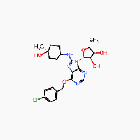 C[C@H]1O[C@@H](n2c(N[C@H]3CC[C@@](C)(O)CC3)nc3c(OCc4ccc(Cl)cc4)ncnc32)[C@H](O)[C@@H]1O